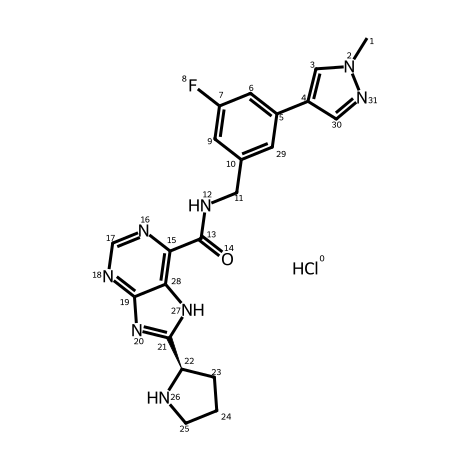 Cl.Cn1cc(-c2cc(F)cc(CNC(=O)c3ncnc4nc([C@H]5CCCN5)[nH]c34)c2)cn1